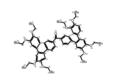 CCC(C)COc1ccc(-c2cc(OCC(C)CC)c(OCC(C)CC)cc2-c2ccc(C(=O)c3ccc(-c4cc(OCC(C)CC)c(OCC(C)CC)cc4-c4ccc(OCC(C)CC)c(OCC(C)CC)c4)cc3)cc2)cc1OCC(C)CC